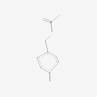 [CH2]c1ccc(COC(C)=O)cc1